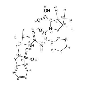 CC(C)(C)[C@@H](CN1Cc2ccccc2S1(=O)=O)NC(=O)N[C@H](C(=O)N1C[C@H]2[C@@H]([C@H]1C(=O)O)C2(C)C)C1CCCCC1